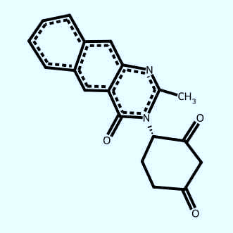 Cc1nc2cc3ccccc3cc2c(=O)n1[C@H]1CCC(=O)CC1=O